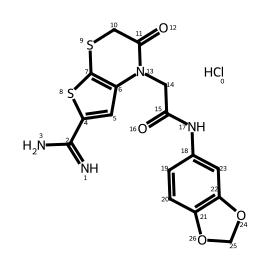 Cl.N=C(N)c1cc2c(s1)SCC(=O)N2CC(=O)Nc1ccc2c(c1)OCO2